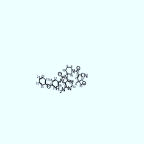 CC1(C=C(C#N)C(=O)N2CCCC(n3c(=O)n(-c4ccc(Oc5ccccc5)cc4)c4c(N)ncnc43)C2)COC1